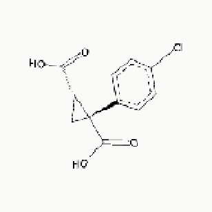 O=C(O)[C@H]1C[C@]1(C(=O)O)c1ccc(Cl)cc1